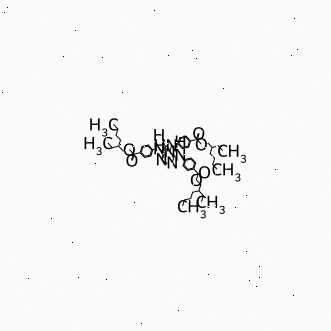 CCCCC(CC)COC(=O)c1ccc(NC2=NC=NC(Nc3ccc(C(=O)OCC(CC)CCCC)cc3)N2Nc2ccc(C(=O)OCC(CC)CCCC)cc2)cc1